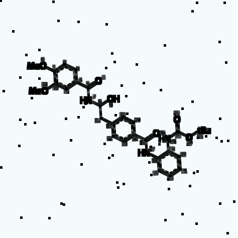 COc1ccc(C(=O)NC(O)Cc2ccc(C(=O)Nc3ccccc3NC(=O)OC(C)(C)C)cc2)cc1OC